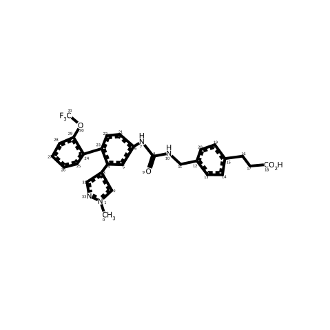 Cn1cc(-c2cc(NC(=O)NCc3ccc(CCC(=O)O)cc3)ccc2-c2ccccc2OC(F)(F)F)cn1